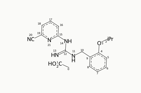 CC(=O)O.CC(C)Oc1ccccc1CNC(=N)Nc1cccc(C#N)n1